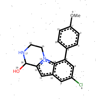 COc1ccc(-c2cc(Cl)cc3cc4n(c23)CCNC4O)cc1